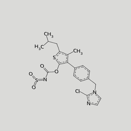 Cc1c(CC(C)C)sc(OC(=O)N=S(=O)=O)c1-c1ccc(Cn2ccnc2Cl)cc1